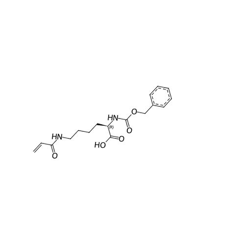 C=CC(=O)NCCCC[C@@H](NC(=O)OCc1ccccc1)C(=O)O